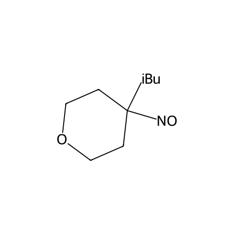 CCC(C)C1(N=O)CCOCC1